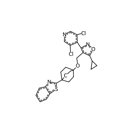 Clc1cncc(Cl)c1-c1noc(C2CC2)c1COC12CCC(c3nc4ccccc4s3)(CC1)CC2